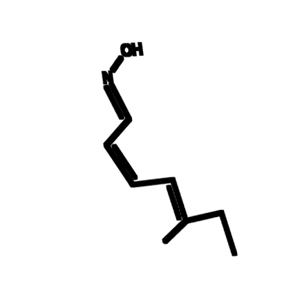 CC/C(C)=C/C=C\C=N\O